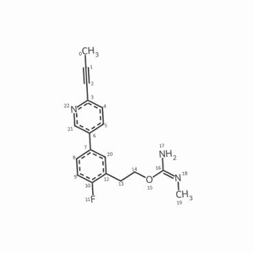 CC#Cc1ccc(-c2ccc(F)c(CCO/C(N)=N\C)c2)cn1